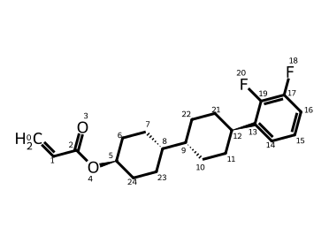 C=CC(=O)O[C@H]1CC[C@H]([C@H]2CC[C@H](c3cccc(F)c3F)CC2)CC1